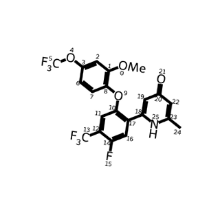 COc1cc(OC(F)(F)F)ccc1Oc1cc(C(F)(F)F)c(F)cc1-c1cc(=O)cc(C)[nH]1